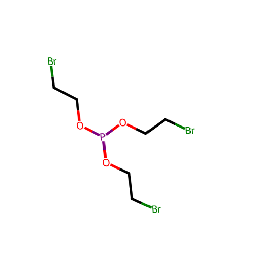 BrCCOP(OCCBr)OCCBr